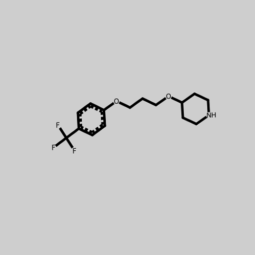 FC(F)(F)c1ccc(OCCCOC2CCNCC2)cc1